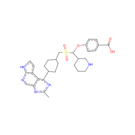 Cc1nc(C2CCC(CS(=O)(=O)C(Oc3ccc(C(=O)O)cc3)C3CCCNC3)CC2)c2c(cnc3[nH]ccc32)n1